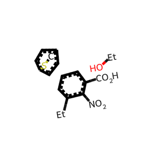 CCO.CCc1cccc(C(=O)O)c1[N+](=O)[O-].c1cc2ccc1CS2